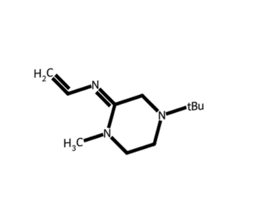 C=C/N=C1/CN(C(C)(C)C)CCN1C